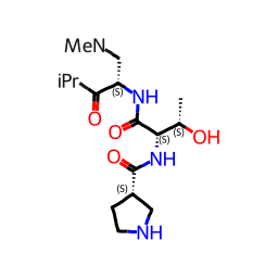 CNC[C@H](NC(=O)[C@@H](NC(=O)[C@H]1CCNC1)[C@H](C)O)C(=O)C(C)C